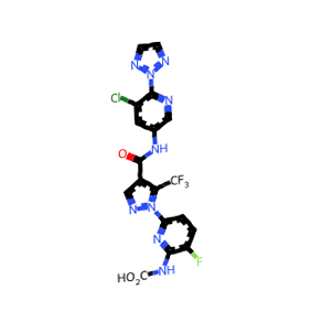 O=C(O)Nc1nc(-n2ncc(C(=O)Nc3cnc(-n4nccn4)c(Cl)c3)c2C(F)(F)F)ccc1F